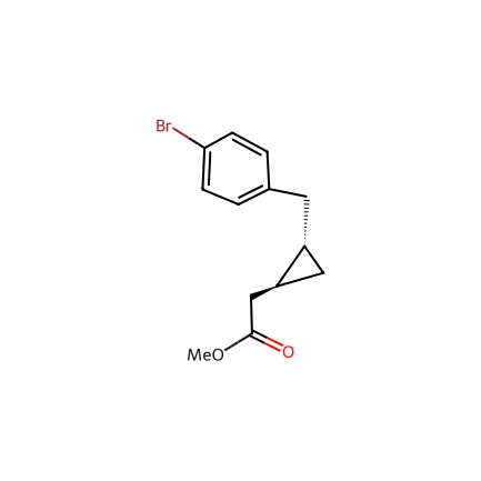 COC(=O)C[C@@H]1C[C@H]1Cc1ccc(Br)cc1